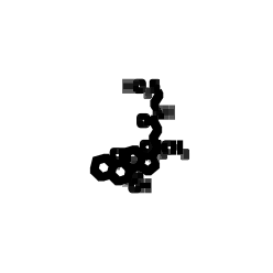 C[C@H](CCC(=O)NCCS(=O)(=O)O)[C@H]1CCC2[C@H]3C(CC[C@@]21C)[C@@]1(C)CCCCC1C[C@@H]3O